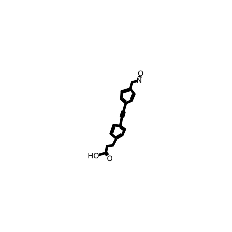 O=NCc1ccc(C#Cc2ccc(CCC(=O)O)cc2)cc1